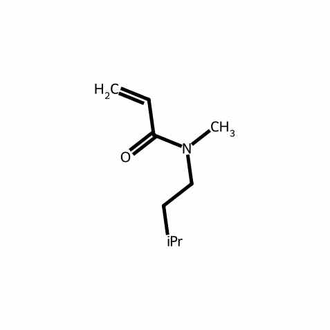 C=CC(=O)N(C)CCC(C)C